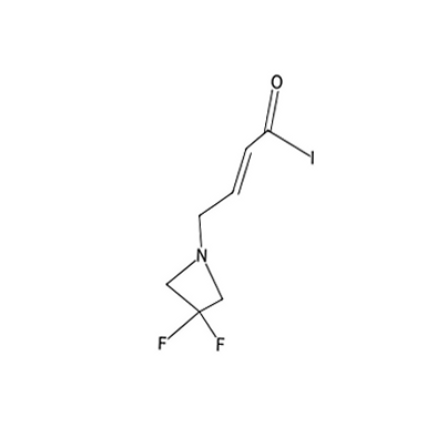 O=C(I)/C=C/CN1CC(F)(F)C1